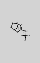 CC(C)(I)NC1CC2CCC(C1)N2C(C)(C)C